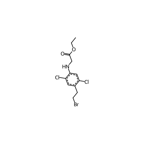 CCOC(=O)CNc1cc(Cl)c(CCBr)cc1Cl